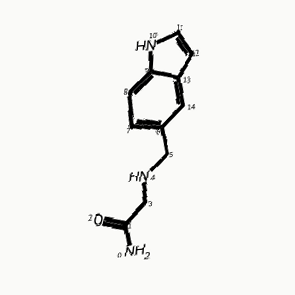 NC(=O)CNCc1ccc2[nH]ccc2c1